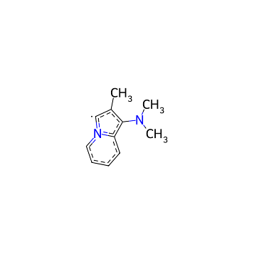 Cc1[c]n2ccccc2c1N(C)C